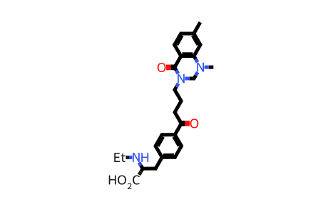 CCNC(Cc1ccc(C(=O)CCCN2CN(C)c3cc(C)ccc3C2=O)cc1)C(=O)O